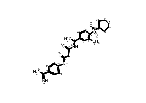 Cc1cc(C(C)NC(=O)CC(=O)Nc2ccc(C(=N)N)cc2)ccc1S(=O)(=O)C1CCOCC1